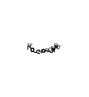 O=[N+]([O-])c1cn2c(n1)OC(COc1ccc(N3CCC(Cc4ccc(C(F)(F)F)cc4)CC3)cc1)CC2